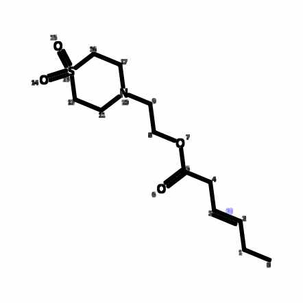 CC/C=C/CC(=O)OCCN1CCS(=O)(=O)CC1